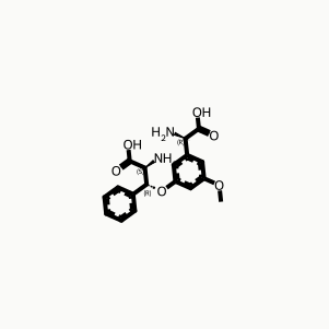 COc1cc(O[C@H](c2ccccc2)[C@H](N)C(=O)O)cc([C@@H](N)C(=O)O)c1